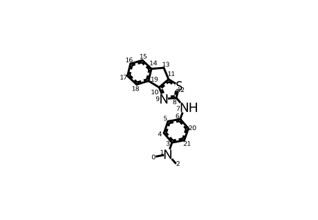 CN(C)c1ccc(Nc2nc3c(s2)Cc2ccccc2-3)cc1